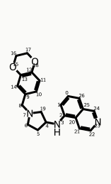 c1cc(NC2CCN(Cc3ccc4c(c3)OCCO4)C2)c2ccncc2c1